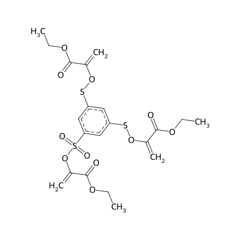 C=C(OSc1cc(SOC(=C)C(=O)OCC)cc(S(=O)(=O)OC(=C)C(=O)OCC)c1)C(=O)OCC